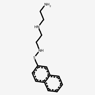 NCCNCCNSc1ccc2ccccc2c1